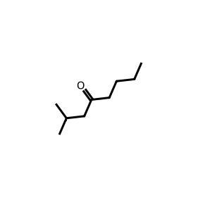 CCCCC(=O)C[C](C)C